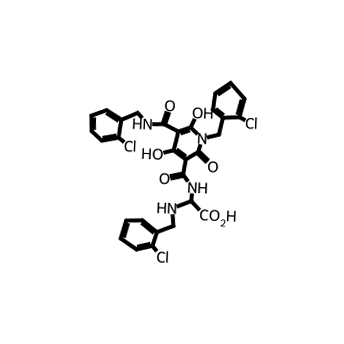 O=C(NCc1ccccc1Cl)c1c(O)c(C(=O)NC(NCc2ccccc2Cl)C(=O)O)c(=O)n(Cc2ccccc2Cl)c1O